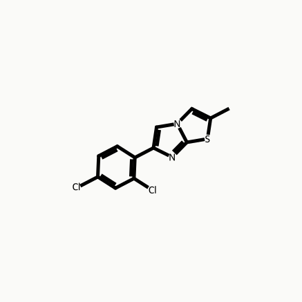 Cc1cn2cc(-c3ccc(Cl)cc3Cl)nc2s1